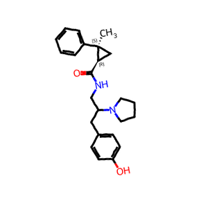 C[C@]1(c2ccccc2)C[C@H]1C(=O)NCC(Cc1ccc(O)cc1)N1CCCC1